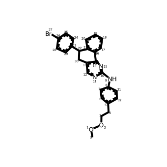 COOCCc1ccc(Nc2ncc3c(n2)-c2ccccc2C(c2ccc(Br)cc2)C3)cc1